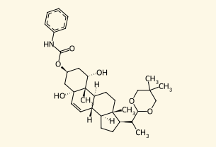 CC(C1OCC(C)(C)CO1)[C@H]1CC[C@H]2[C@@H]3C=C[C@@]4(O)C[C@@H](OC(=O)Nc5ccccc5)C[C@H](O)[C@]4(C)[C@H]3CC[C@]12C